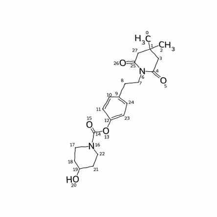 CC1(C)CC(=O)N(CCc2ccc(OC(=O)N3CCC(O)CC3)cc2)C(=O)C1